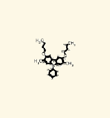 CCCCOc1cc2c(cc1C)B(c1ccccc1)c1cc(C)c(OCCCC)cc1-2